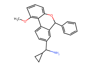 COc1cccc2c1-c1ccc(C(N)C3CC3)cc1C(c1ccccc1)O2